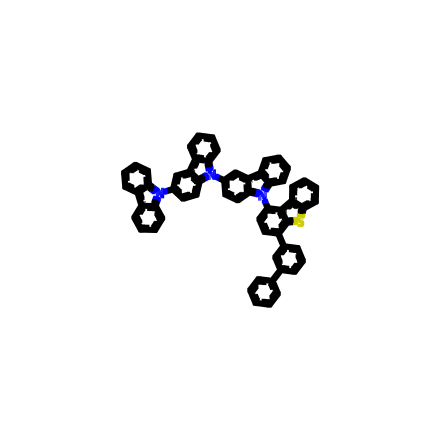 c1ccc(-c2cccc(-c3ccc(-n4c5ccccc5c5cc(-n6c7ccccc7c7cc(-n8c9ccccc9c9ccccc98)ccc76)ccc54)c4c3sc3ccccc34)c2)cc1